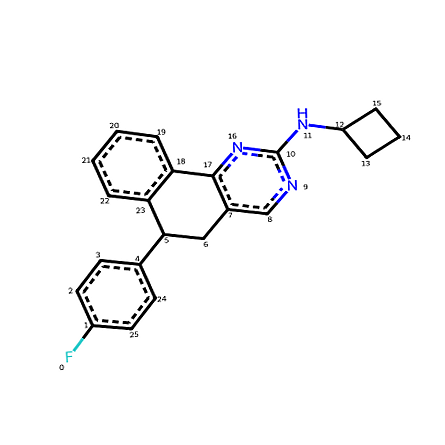 Fc1ccc(C2Cc3cnc(NC4CCC4)nc3-c3ccccc32)cc1